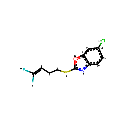 FC(F)=CCCSc1nc2ccc(Cl)cc2o1